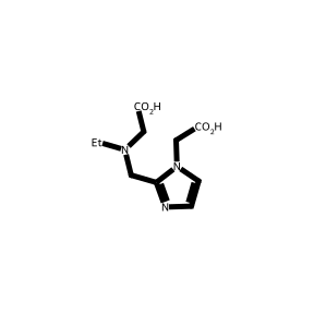 CCN(CC(=O)O)Cc1nccn1CC(=O)O